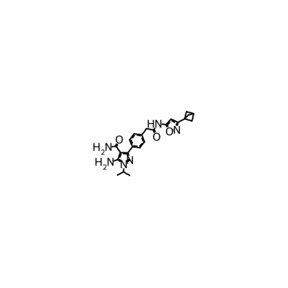 CC(C)n1nc(-c2ccc(CC(=O)Nc3cc(C45CC(C4)C5)no3)cc2)c(C(N)=O)c1N